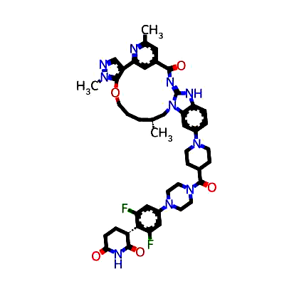 Cc1cc2cc(n1)-c1cnn(C)c1OCCC[C@@H](C)CN1/C(=N/C2=O)Nc2ccc(N3CCC(C(=O)N4CCN(c5cc(F)c([C@H]6CCC(=O)NC6=O)c(F)c5)CC4)CC3)cc21